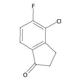 O=C1CCc2c1ccc(F)c2Cl